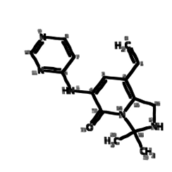 C=Cc1cc(Nc2ccncn2)c(=O)n2c1CNC2(C)C